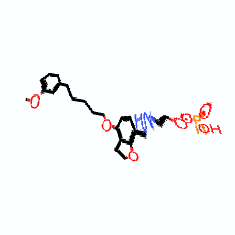 COc1cccc(CCCCCOc2ccc(CNCCOO[PH](=O)O)c3occc23)c1